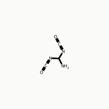 NC(N=C=O)N=C=O